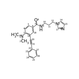 CN(C)c1ccc(C(=O)NCCCn2ccnc2)cc1C#Cc1ccccc1